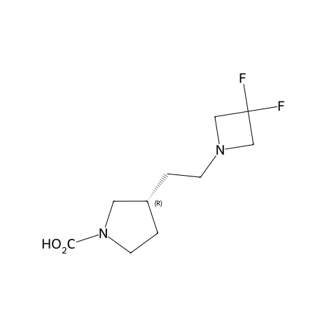 O=C(O)N1CC[C@@H](CCN2CC(F)(F)C2)C1